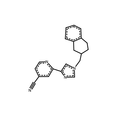 N#Cc1ccnc(-c2cn(CC3CCc4ccccc4C3)cn2)c1